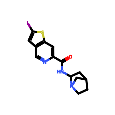 O=C(NC1CC2CCN1C2)c1cc2sc(I)cc2cn1